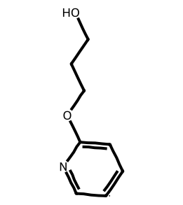 OCCCOc1cc[c]cn1